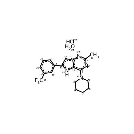 Cc1nc(N2CCCCC2)c2[nH]c(-c3cccc(C(F)(F)F)c3)cc2n1.Cl.O